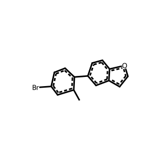 Cc1cc(Br)ccc1-c1ccc2occc2c1